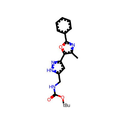 Cc1nc(-c2ccccc2)oc1-c1cc(CNC(=O)OC(C)(C)C)[nH]n1